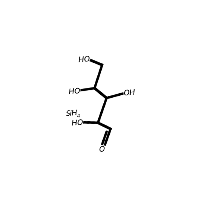 O=CC(O)C(O)C(O)CO.[SiH4]